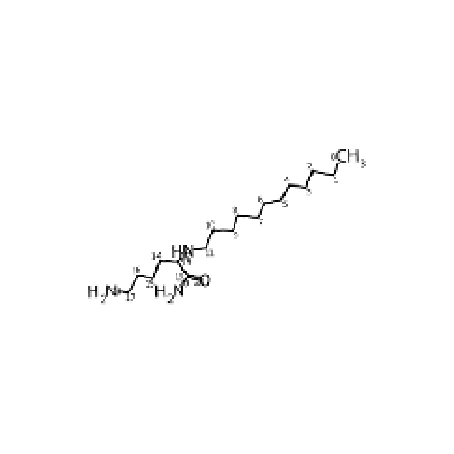 CCCCCCCCCCCCNC(CCCCN)C(N)=O